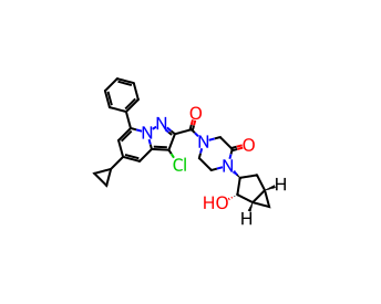 O=C(c1nn2c(-c3ccccc3)cc(C3CC3)cc2c1Cl)N1CCN([C@H]2C[C@@H]3C[C@@H]3[C@@H]2O)C(=O)C1